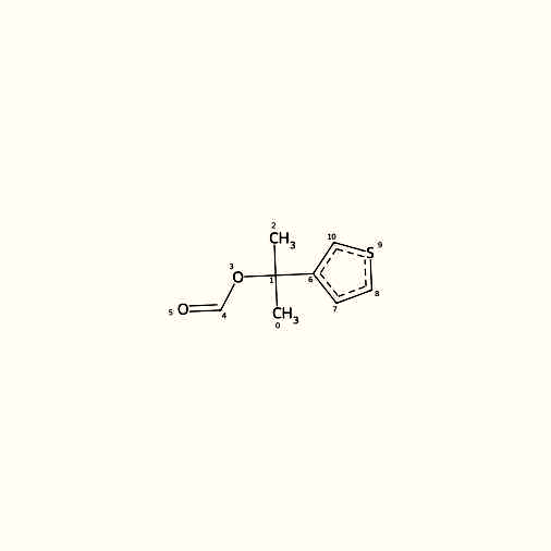 CC(C)(OC=O)c1ccsc1